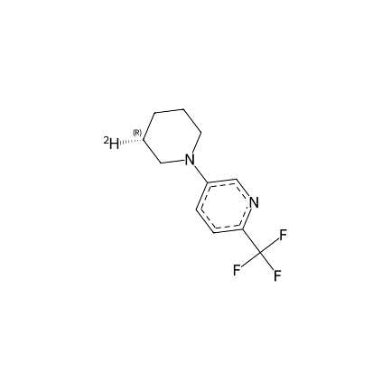 [2H][C@@H]1CCCN(c2ccc(C(F)(F)F)nc2)C1